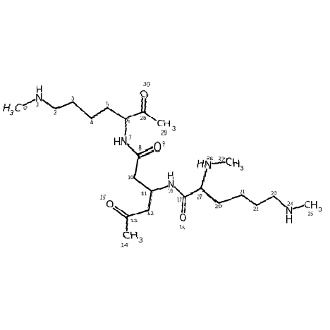 CNCCCCC(NC(=O)CC(CC(C)=O)NC(=O)C(CCCCNC)NC)C(C)=O